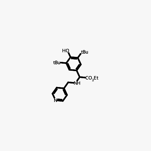 CCOC(=O)C(NCc1ccncc1)c1cc(C(C)(C)C)c(O)c(C(C)(C)C)c1